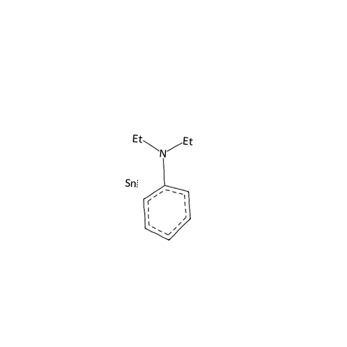 CCN(CC)c1ccccc1.[Sn]